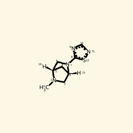 CN1C[C@@H]2C[C@H]1CN2c1ncns1